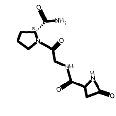 NC(=O)[C@H]1CCCN1C(=O)CNC(=O)C1CC(=O)N1